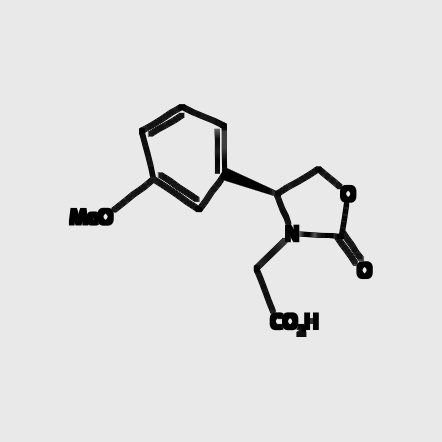 COc1cccc([C@H]2COC(=O)N2CC(=O)O)c1